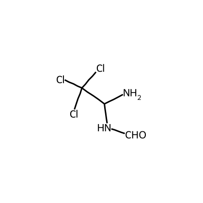 NC(NC=O)C(Cl)(Cl)Cl